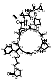 C=C[C@@H]1C[C@]1(NC(=O)[C@@H]1C[C@@H]2CN1C(=O)[C@H](C1CCCC1)NC(=O)O[C@@H]1CCC[C@H]1CCC=CCc1c(nc3ccccc3c1OCCCN1CCCC1=O)O2)C(=O)NS(=O)(=O)C1CC1